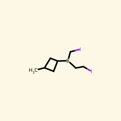 CC1CC(B(CI)CCI)C1